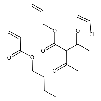 C=CC(=O)OCCCC.C=CCOC(=O)C(C(C)=O)C(C)=O.C=CCl